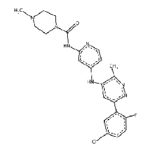 Cc1nnc(-c2cc(Cl)ccc2F)cc1Nc1ccnc(NC(=O)N2CCN(C)CC2)c1